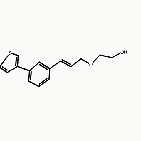 OCCOCC=Cc1cccc(-c2ccsc2)c1